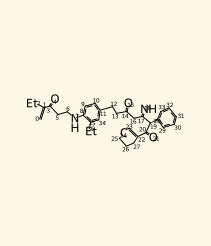 C=C(CC)C(=O)CCNc1ccc(CCC(=O)CC(=N)[C@H](C(=O)C2=CCCCC2)c2ccccc2)cc1CC